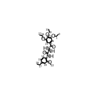 CCOc1cc(C(=O)NNC(=O)Nc2ccc(CC)cc2OC)cc(OCC)c1OCC